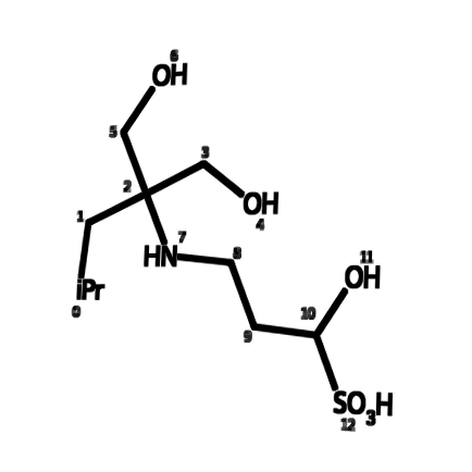 CC(C)CC(CO)(CO)NCCC(O)S(=O)(=O)O